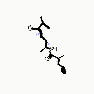 C=C/C=C(\C)C(=O)N/C(C)=C/C=C(/Cl)C(=C)C